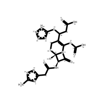 Nc1nc(CC(=O)N[C@@H]2C(=O)N3C(OC(=O)O)=C(C(CC(=O)O)Sc4nnn[nH]4)CS[C@@H]23)ns1